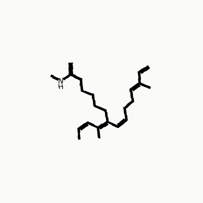 C=C/C(C)=C/CC\C=C/C(CCCCCC(=C)NC)=C(C)/C=C\C